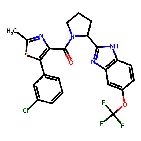 Cc1nc(C(=O)N2CCCC2c2nc3cc(OC(F)(F)F)ccc3[nH]2)c(-c2cccc(Cl)c2)s1